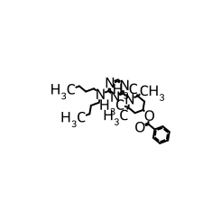 CCCCN(CCCC)c1ncnc(N2C(C)(C)CC(OC(=O)c3ccccc3)CC2(C)C)n1